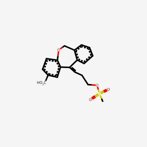 CS(=O)(=O)OCC/C=C1\c2ccccc2COc2ccc(C(=O)O)cc21